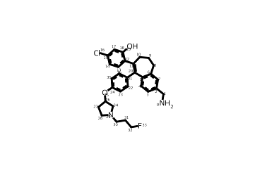 NCc1ccc2c(c1)CCCC(c1ccc(Cl)cc1O)=C2c1ccc(OC2CCN(CCCF)C2)cc1